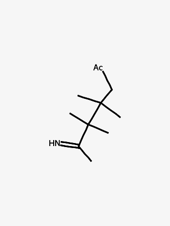 CC(=N)C(C)(C)C(C)(C)CC(C)=O